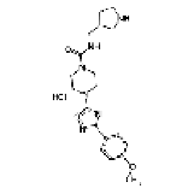 COc1ccc(-c2noc(N3CCN(C(=O)NCC4CCNC4)CC3)n2)cc1.Cl